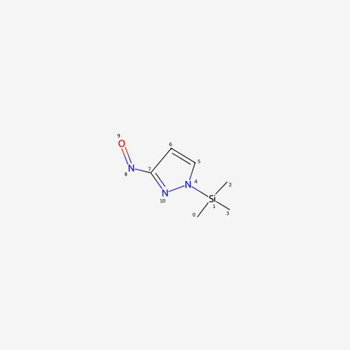 C[Si](C)(C)n1ccc(N=O)n1